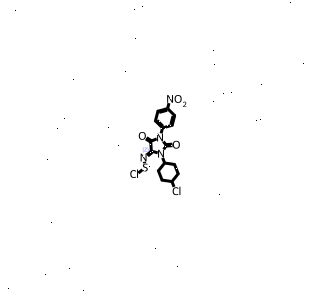 O=C1/C(=N/SCl)N(C2CCC(Cl)CC2)C(=O)N1c1ccc([N+](=O)[O-])cc1